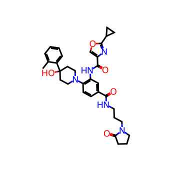 Cc1ccccc1C1(O)CCN(c2ccc(C(=O)NCCCN3CCCC3=O)cc2NC(=O)c2coc(C3CC3)n2)CC1